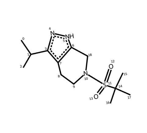 CC(C)c1n[nH]c2c1CCN(S(=O)(=O)C(C)(C)C)C2